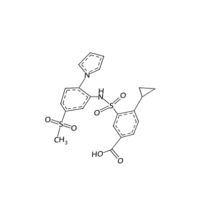 CS(=O)(=O)c1ccc(-n2cccc2)c(NS(=O)(=O)c2cc(C(=O)O)ccc2C2CC2)c1